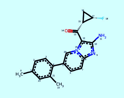 Cc1ccc(-c2ccc3nc(N)c(C(=O)[C@@H]4C[C@@H]4F)n3c2)c(C)c1